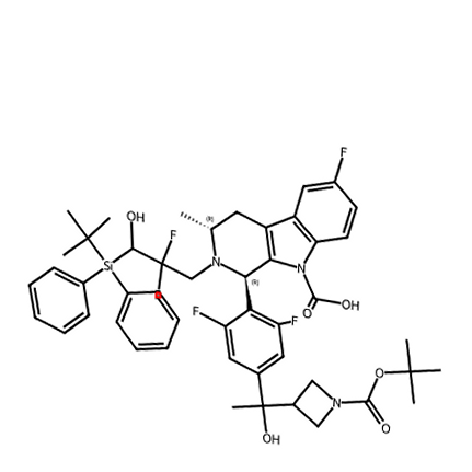 C[C@@H]1Cc2c(n(C(=O)O)c3ccc(F)cc23)[C@@H](c2c(F)cc(C(C)(O)C3CN(C(=O)OC(C)(C)C)C3)cc2F)N1CC(F)(F)C(O)[Si](c1ccccc1)(c1ccccc1)C(C)(C)C